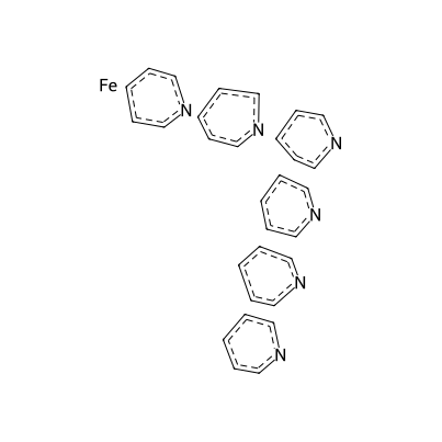 [Fe].c1ccncc1.c1ccncc1.c1ccncc1.c1ccncc1.c1ccncc1.c1ccncc1